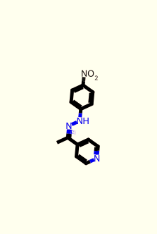 C/C(=N/Nc1ccc([N+](=O)[O-])cc1)c1ccncc1